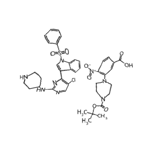 CC(C)(C)OC(=O)N1CCN(c2cc(C(=O)O)ccc2[N+](=O)[O-])CC1.O=S(=O)(c1ccccc1)n1cc(-c2nc(NC3CCNCC3)ncc2Cl)c2ccccc21